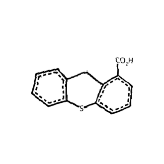 O=C(O)c1cccc2c1[CH]c1ccccc1S2